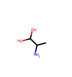 CC(N)C(O)O